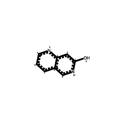 Oc1cc2ncccc2cn1